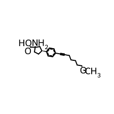 COCCCCCC#Cc1ccc([C@H]2CC[C@](N)(C(=O)O)C2)cc1